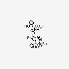 CCCC[C@]1(CC)CS(=O)(=O)c2cc(OCC(=O)NC(Cc3ccccc3O)C(=O)O)c(Br)cc2[C@@H](c2ccccc2)[C@H]1O